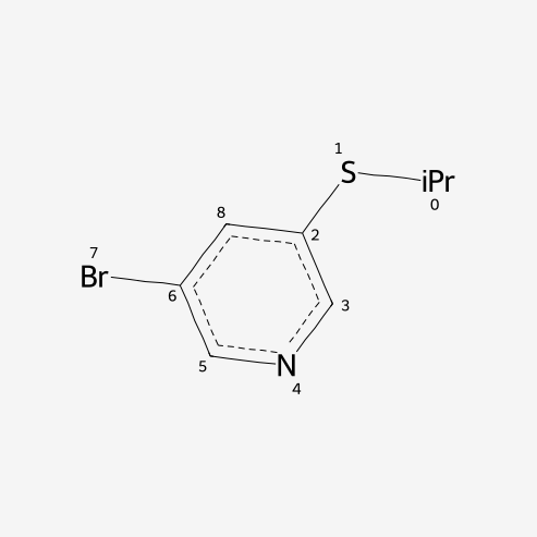 [CH2]C(C)Sc1cncc(Br)c1